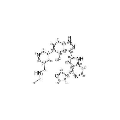 CCNCc1cncc(-c2ccc3[nH]nc(-c4nc5c(-c6ccoc6)nccc5[nH]4)c3c2F)c1